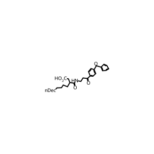 CCCCCCCCCCCCCCC(CC(=O)O)C(=O)NCCC(=O)c1ccc(C(=O)c2ccccc2)cc1